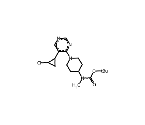 CN(C(=O)OC(C)(C)C)C1CCN(c2ncncc2C2CC2Cl)CC1